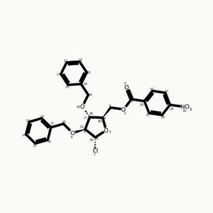 O=C(OC[C@H]1O[C@H](Cl)[C@@H](OCc2ccccc2)[C@@H]1OCc1ccccc1)c1ccc([N+](=O)[O-])cc1